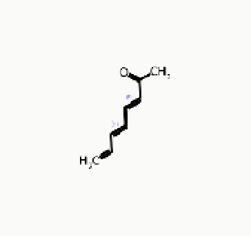 C=C/C=C/C=C/C(C)=O